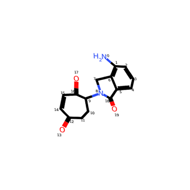 Nc1cccc2c1CN(C1CCC(=O)C=CC1=O)C2=O